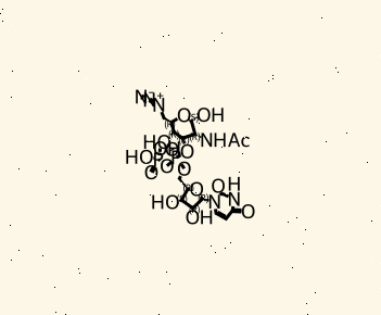 CC(=O)N[C@@H]1[C@@H](OP(=O)(OC[C@H]2O[C@@H](n3ccc(=O)[nH]c3=O)[C@H](O)[C@@H]2O)OP(=O)(O)O)[C@H](O)[C@@H](CN=[N+]=[N-])O[C@@H]1O